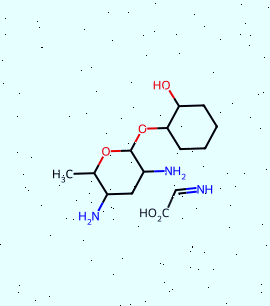 CC1OC(OC2CCCCC2O)C(N)CC1N.N=CC(=O)O